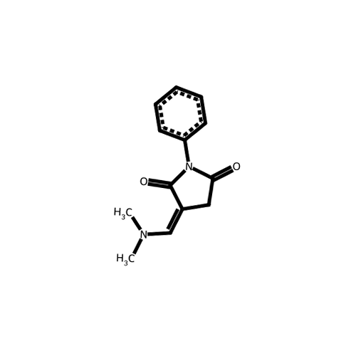 CN(C)C=C1CC(=O)N(c2ccccc2)C1=O